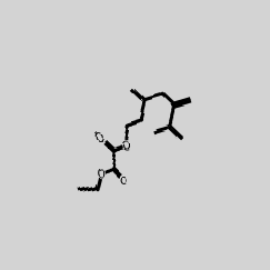 C=C(CC(C)CCOC(=O)C(=O)OCC)C(C)C